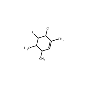 CC1=CC(C)C(C)C(F)C1Cl